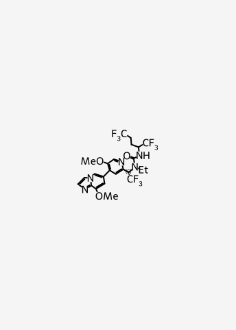 CCN(C(=O)NC(CCC(F)(F)F)C(F)(F)F)[C@@H](c1cc(-c2cc(OC)c3nccn3c2)c(OC)cn1)C(F)(F)F